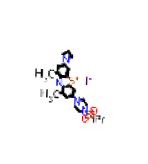 Cc1cc(N2CCC2)cc2[s+]c3cc(N4CCN(S(=O)(=O)C(C)C)CC4)cc(C)c3nc12.[I-]